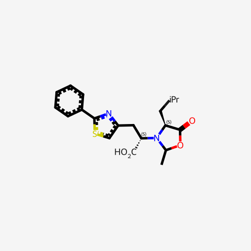 CC(C)C[C@H]1C(=O)OC(C)N1[C@@H](Cc1csc(-c2ccccc2)n1)C(=O)O